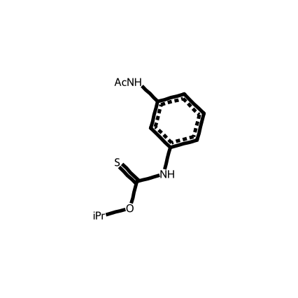 CC(=O)Nc1cccc(NC(=S)OC(C)C)c1